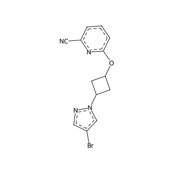 N#Cc1cccc(OC2CC(n3cc(Br)cn3)C2)n1